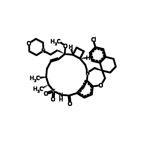 CO[C@]1(CCN2CCOCC2)/C=C/C[C@H](C)[C@@H](C)S(=O)(=O)NC(=O)c2ccc3c(c2)N(C[C@@H]2CC[C@H]21)C[C@@]1(CCCc2cc(Cl)ccc21)CO3